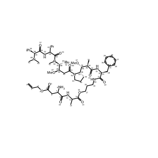 C=CCOC(=O)CC(N)C(=O)NC(C)C(=O)OCCCNC(=O)[C@H](Cc1ccccc1)NC(=O)[C@H](C)[C@@H](OC)[C@@H]1CCCN1C(=O)C[C@@H](OC)[C@H]([C@@H](C)CC)N(C)C(=O)C(NC(=O)[C@H](C(C)C)N(C)C)C(C)C